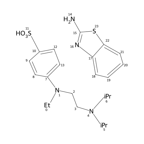 CCN(CCN(C(C)C)C(C)C)c1ccc(S(=O)(=O)O)cc1.Nc1nc2ccccc2s1